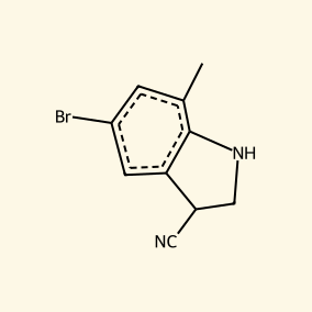 Cc1cc(Br)cc2c1NCC2C#N